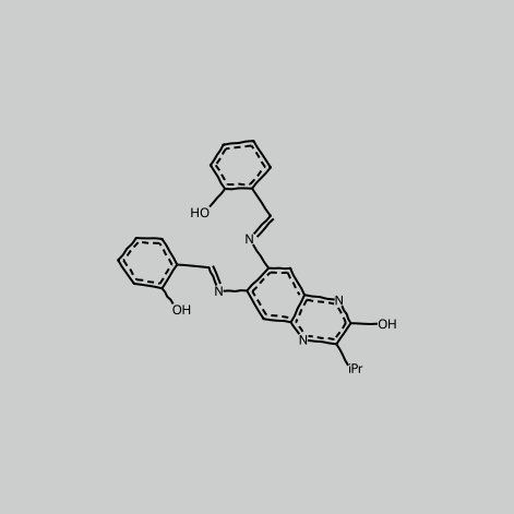 CC(C)c1nc2cc(N=Cc3ccccc3O)c(N=Cc3ccccc3O)cc2nc1O